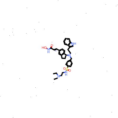 CCN(CC)CCNS(=O)(=O)c1ccc(CN(CCc2c[nH]c3ccccc23)C2CCc3cc(/C=C/C(=O)NO)ccc32)cc1